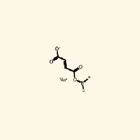 O=C([O-])C=CC(=O)OB(F)F.[Na+]